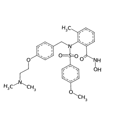 COc1ccc(S(=O)(=O)N(Cc2ccc(OCCN(C)C)cc2)c2c(C)cccc2C(=O)NO)cc1